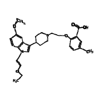 CCOCCn1cc(C2CCN(CCOc3ccc(C)cc3C(=O)O)CC2)c2cc(OC)ccc21